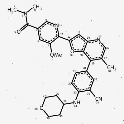 COc1cc(C(=O)N(C)C)cnc1-c1cc2ncc(C)c(-c3ccc(NC4CCOCC4)c(C#N)c3)c2o1